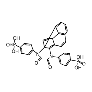 O=CN(C1=C2C=Cc3cccc4c3C2C=CC14N(C=O)c1ccc(P(=O)(O)O)cc1)c1ccc(P(=O)(O)O)cc1